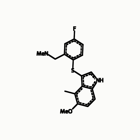 CNCc1cc(F)ccc1Sc1c[nH]c2ccc(OC)c(C)c12